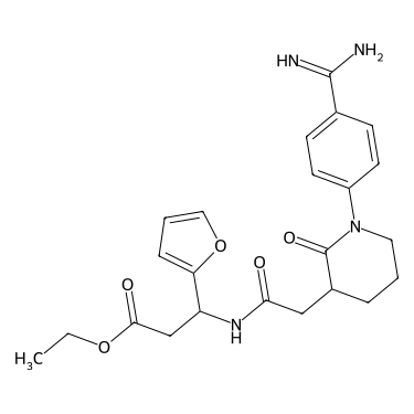 CCOC(=O)CC(NC(=O)CC1CCCN(c2ccc(C(=N)N)cc2)C1=O)c1ccco1